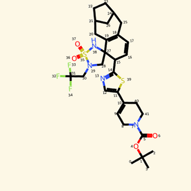 CC(C)(C)OC(=O)N1CC=C(c2cnc(C3C=CC4=C(CC5CCC(C4)C5)C34CN(CC(F)(F)F)S(=O)(=O)N4)s2)CC1